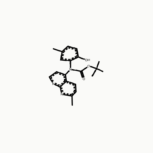 Cc1ccc(O)c(N(C(=O)OC(C)(C)C)c2ccnc3nc(C)ccc23)c1